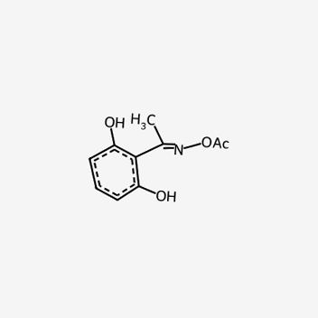 CC(=O)O/N=C(\C)c1c(O)cccc1O